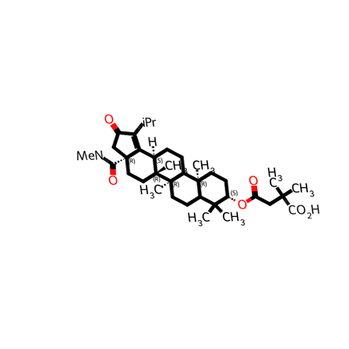 CNC(=O)[C@@]12CC[C@]3(C)[C@H](CCC4[C@@]5(C)CC[C@H](OC(=O)CC(C)(C)C(=O)O)C(C)(C)C5CC[C@]43C)C1=C(C(C)C)C(=O)C2